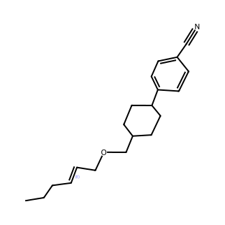 CCC/C=C/COCC1CCC(c2ccc(C#N)cc2)CC1